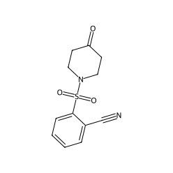 N#Cc1ccccc1S(=O)(=O)N1CCC(=O)CC1